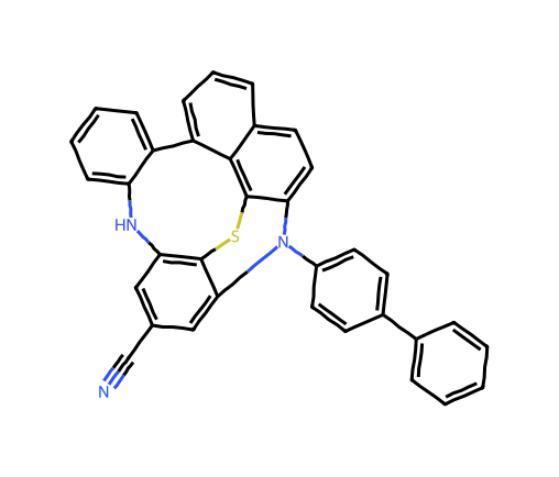 N#Cc1cc2c3c(c1)N(c1ccc(-c4ccccc4)cc1)c1ccc4cccc(c4c1S3)-c1ccccc1N2